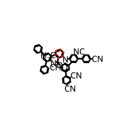 Cc1cccc(-n2c3ccc(-c4ccc(C#N)cc4C#N)cc3c3cc(-c4ccc(C#N)cc4C#N)ccc32)c1C(=O)N(C=O)c1c(-c2ccccc2)cc(-c2ccccc2)cc1-c1ccccc1